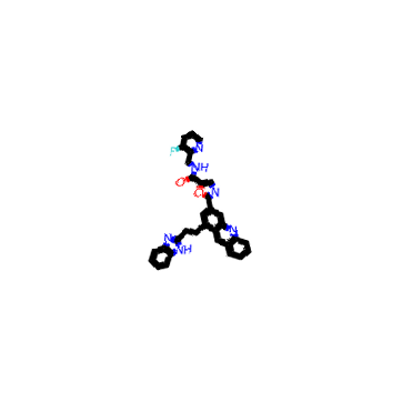 O=C(NCc1ncccc1F)c1cnc(-c2cc(CCc3nc4ccccc4[nH]3)c3cc4ccccc4nc3c2)o1